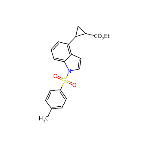 CCOC(=O)C1CC1c1cccc2c1ccn2S(=O)(=O)c1ccc(C)cc1